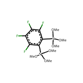 CO[Si](OC)(OC)c1c(F)c(F)c(F)c(F)c1[Si](OC)(OC)OC